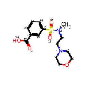 CN(CCN1CCOCC1)S(=O)(=O)c1cccc(C(=O)O)c1